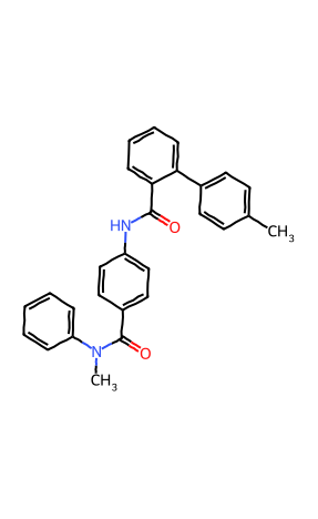 Cc1ccc(-c2ccccc2C(=O)Nc2ccc(C(=O)N(C)c3ccccc3)cc2)cc1